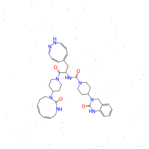 O=C(NC(Cc1cccn[nH]ccc1)C(=O)N1CCC(N2CC/C=C\C=C/CNC2=O)CC1)N1CCC(N2Cc3ccccc3NC2=O)CC1